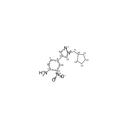 Nc1ccc(-c2cnn(CC3CCCC3)c2)cc1[N+](=O)[O-]